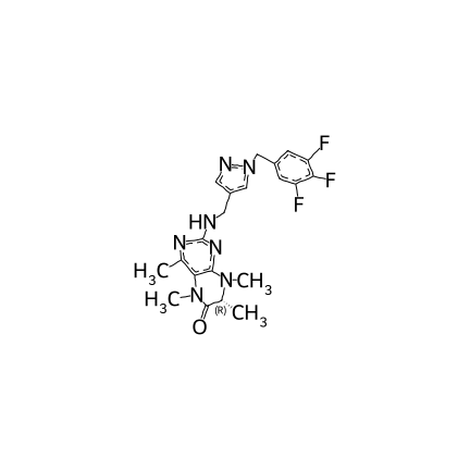 Cc1nc(NCc2cnn(Cc3cc(F)c(F)c(F)c3)c2)nc2c1N(C)C(=O)[C@@H](C)N2C